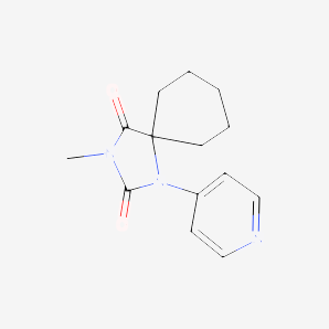 CN1C(=O)N(c2ccncc2)C2(CCCCC2)C1=O